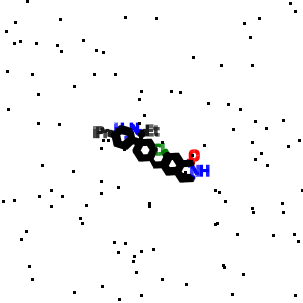 CCC(N)[C@]1(c2ccc(C(C)C)cc2)CC[C@H](Cc2cc3cc[nH]c(=O)c3cc2Cl)CC1